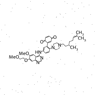 COCCOc1cc2ncnc(Nc3ccc(N4CCN(CCC(C)CCC=C(C)C)CC4)c(C4=CC(=O)C=CC4=O)c3)c2cc1OC